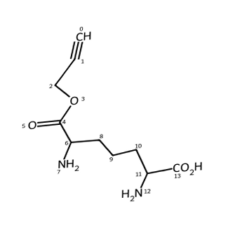 C#CCOC(=O)C(N)CCCC(N)C(=O)O